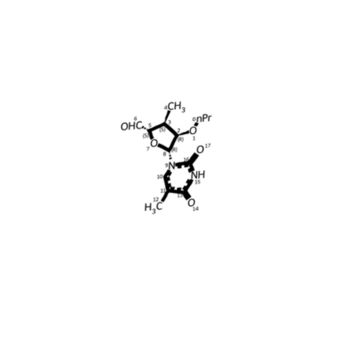 CCCO[C@@H]1[C@H](C)[C@@H](C=O)O[C@H]1n1cc(C)c(=O)[nH]c1=O